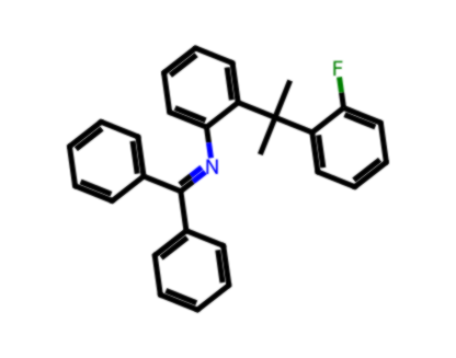 CC(C)(c1ccccc1F)c1ccccc1N=C(c1ccccc1)c1ccccc1